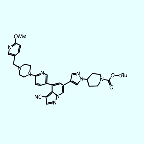 COc1ccc(CN2CCN(c3ccc(-c4cc(-c5cnn(C6CCN(C(=O)OC(C)(C)C)CC6)c5)cn5ncc(C#N)c45)cn3)CC2)cn1